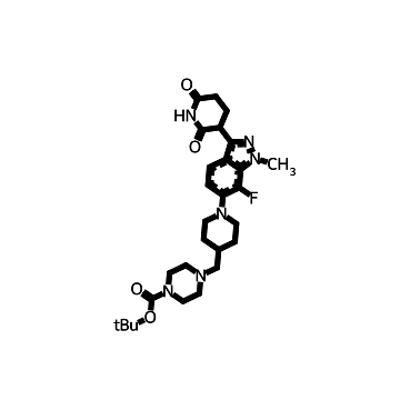 Cn1nc(C2CCC(=O)NC2=O)c2ccc(N3CCC(CN4CCN(C(=O)OC(C)(C)C)CC4)CC3)c(F)c21